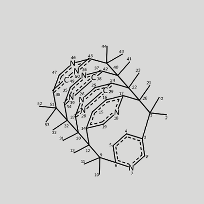 CC1(C)c2ccc(nc2)C(C)(C)C2(C)c3ccc(nc3)C1(C)C1(C)c3cnc(nc3)C2(C)C2(C)c3cnc(cn3)C1(C)C(C)(C)c1ncc(cn1)C2(C)C